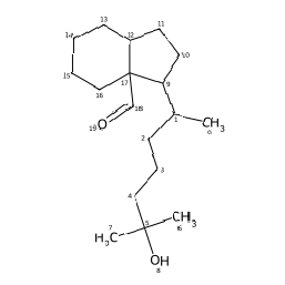 CC(CCCC(C)(C)O)C1CCC2CCCCC21C=O